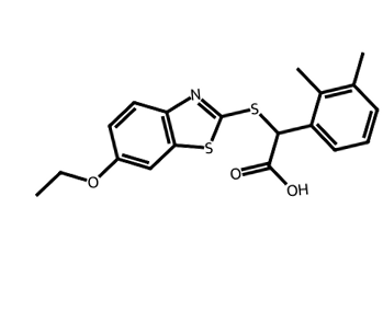 CCOc1ccc2nc(SC(C(=O)O)c3cccc(C)c3C)sc2c1